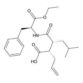 C=CC[C@H](C(=O)O)[C@@H](CC(C)C)C(=O)N[C@@H](Cc1ccccc1)C(=O)OCC